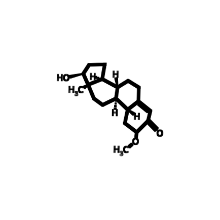 COC1C[C@H]2C(=CC1=O)CC[C@@H]1[C@@H]2CC[C@]2(C)[C@@H](O)CC[C@@H]12